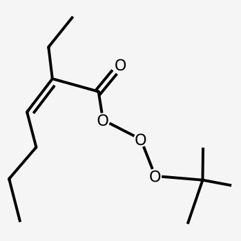 CCCC=C(CC)C(=O)OOOC(C)(C)C